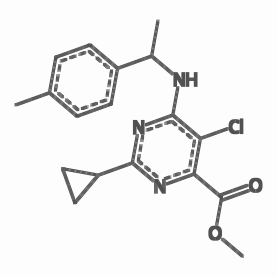 COC(=O)c1nc(C2CC2)nc(NC(C)c2ccc(C)cc2)c1Cl